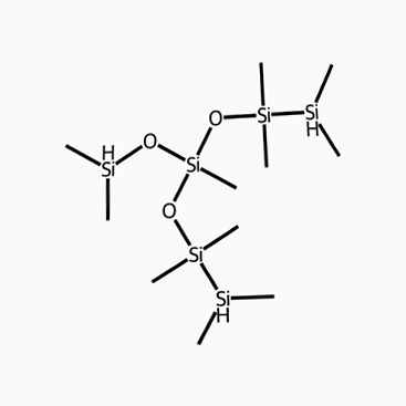 C[SiH](C)O[Si](C)(O[Si](C)(C)[SiH](C)C)O[Si](C)(C)[SiH](C)C